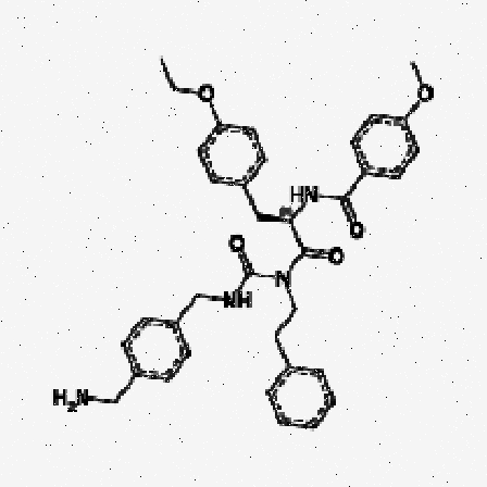 CCOc1ccc(C[C@@H](NC(=O)c2ccc(OC)cc2)C(=O)N(CCc2ccccc2)C(=O)NCc2ccc(CN)cc2)cc1